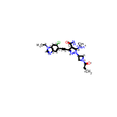 C=CC(=O)N1CC(n2nc(C#Cc3cc4ncn(CC)c4cc3Cl)c(C(N)=O)c2NC)C1